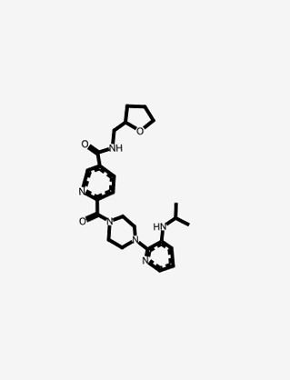 CC(C)Nc1cccnc1N1CCN(C(=O)c2ccc(C(=O)NCC3CCCO3)cn2)CC1